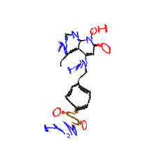 Cc1ncnc2c1c(NCc1ccc(S(N)(=O)=O)cc1)cc(=O)n2O